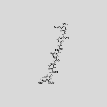 COc1ccc(CC[C@@H](O)c2cccc(OCC(=O)NCC(CNC(=O)COc3cccc([C@H](O)CCc4ccc(OC(C)(C)C(C)(C)C)c(OC)c4)c3)CN(C)C)c2)cc1OC